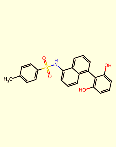 Cc1ccc(S(=O)(=O)Nc2cccc3c(-c4c(O)cccc4O)cccc23)cc1